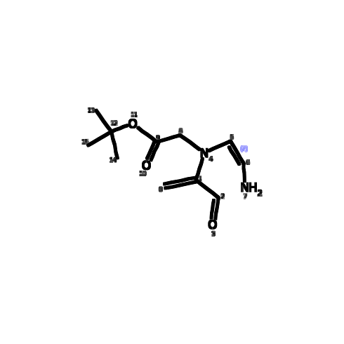 C=C(C=O)N(/C=C\N)CC(=O)OC(C)(C)C